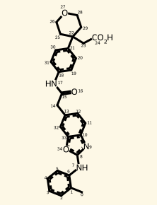 Cc1ccccc1Nc1nc2ccc(CC(=O)Nc3ccc(C4(CC(=O)O)CCOCC4)cc3)cc2o1